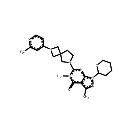 Cc1nn(C2CCCCO2)c2nc(N3CCC4(CN(c5ccnc(C(F)(F)F)c5)C4)C3)n(C)c(=O)c12